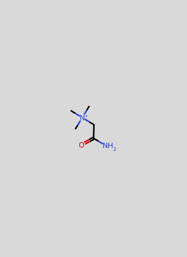 C[N+](C)(C)CC(N)=O